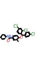 Cc1cc(C(=O)Nc2ccccc2)ccc1OC(c1ccc(Cl)cc1)c1ccc(Cl)cc1Cl